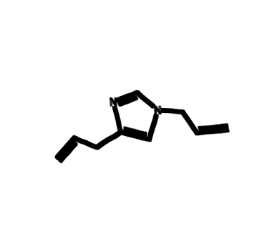 C=CCc1cn(CC=C)cn1